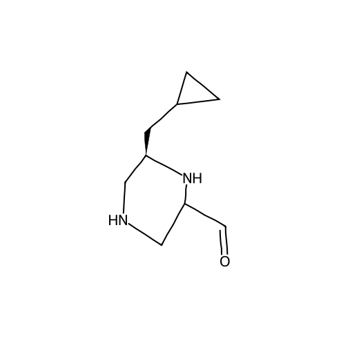 O=CC1CNC[C@@H](CC2CC2)N1